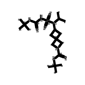 CC(C)N(C1CC2(C1)CN(C(=O)OC(C)(C)C)C2)S(=O)(=O)NC(=O)OC(C)(C)C